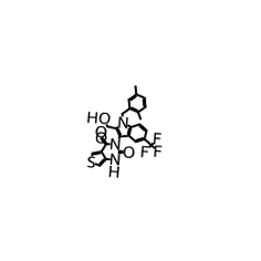 Cc1ccc(C)c(Cn2c(C(=O)O)c(-n3c(=O)[nH]c4cscc4c3=O)c3cc(C(F)(F)F)ccc32)c1